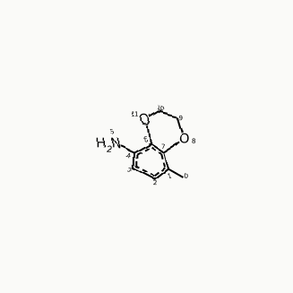 Cc1ccc(N)c2c1OCCO2